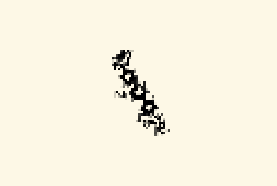 CCCn1ncn(-c2ccc(-c3cnc(N4CCC(c5noc(C(C)C)n5)CC4)c(C#N)c3)cc2F)c1=O